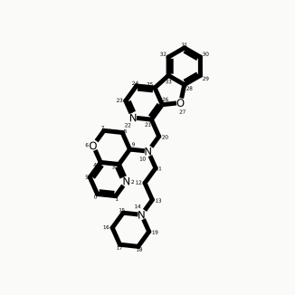 c1cnc2c(c1)OCCC2N(CCCN1CCCCC1)Cc1nccc2c1oc1ccccc12